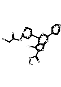 CC(C)(C)NC(=O)c1sc2nc(-c3ccncc3)nc(-c3cccc(NC(=O)CBr)c3)c2c1N